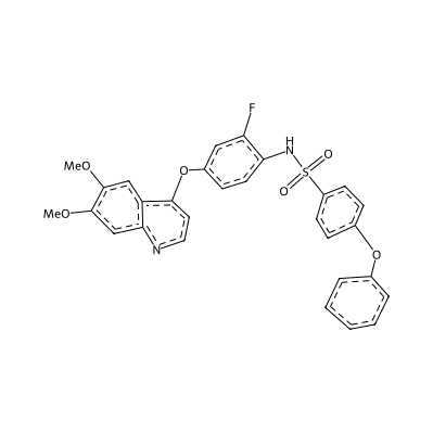 COc1cc2nccc(Oc3ccc(NS(=O)(=O)c4ccc(Oc5ccccc5)cc4)c(F)c3)c2cc1OC